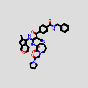 Cc1cc2coccc-2c1NC(N[C@H]1CCCCN(CC(=O)N2CCCC2)C1=O)=C(C#N)C(=O)c1ccc(C(=O)NCc2ccccc2)cc1